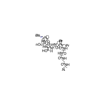 CCCCCCCC[C@H](NC(=O)[C@@H]1CCCN1C(=O)/C=C/[C@@H](C)CC)C(=O)N[C@H](C(=O)NC(C)(C)C(=O)NC(CC(C)C)C(=O)N[C@@H](CC(C)C)C(=O)NC(C)(C)C(=O)NC(C)(C)C(=O)NCCC(=O)NC(C)CN(C)C)[C@@H](C)O